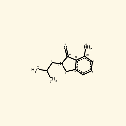 CC(C)CN1Cc2cccc(N)c2C1=O